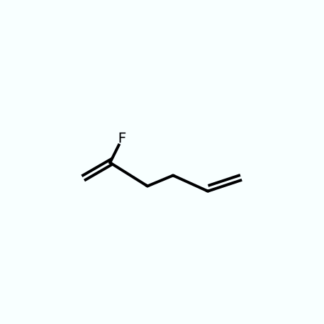 C=CCCC(=C)F